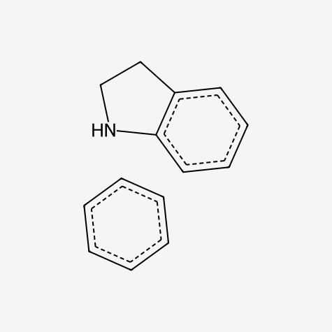 c1ccc2c(c1)CCN2.c1ccccc1